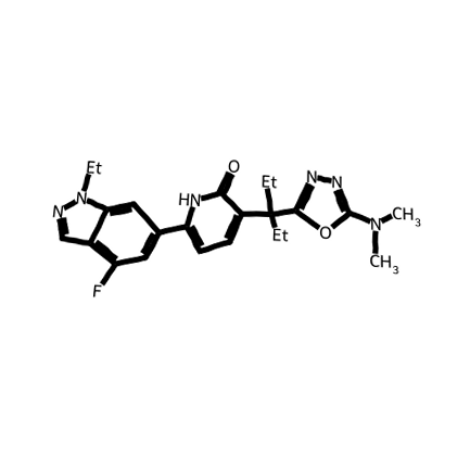 CCn1ncc2c(F)cc(-c3ccc(C(CC)(CC)c4nnc(N(C)C)o4)c(=O)[nH]3)cc21